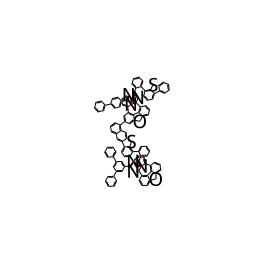 c1ccc(-c2ccc(-c3nc(-c4ccccc4-c4cccc5c4sc4ccccc45)nc(-c4cccc5oc6cc(-c7cccc8cc9c(cc78)sc7c(-c8ccccc8-c8nc(-c%10cc(-c%11ccccc%11)cc(-c%11ccccc%11)c%10)nc(-c%10cccc%11oc%12cccc(-c%13ccccc%13)c%12c%10%11)n8)cccc79)cc(-c7ccccc7)c6c45)n3)cc2)cc1